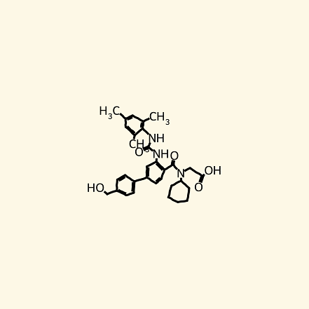 Cc1cc(C)c(NC(=O)Nc2cc(-c3ccc(CO)cc3)ccc2C(=O)N(CC(=O)O)C2CCCCC2)c(C)c1